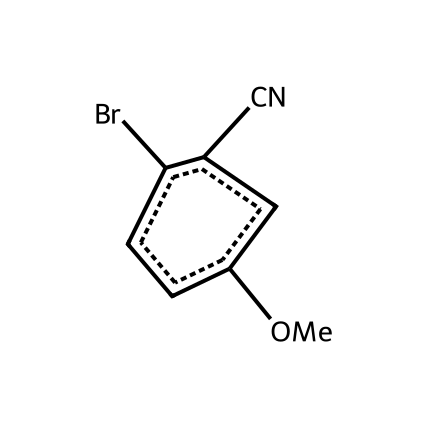 COc1ccc(Br)c(C#N)c1